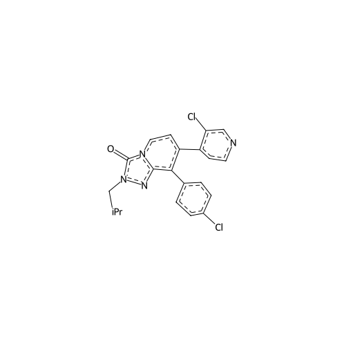 CC(C)Cn1nc2c(-c3ccc(Cl)cc3)c(-c3ccncc3Cl)ccn2c1=O